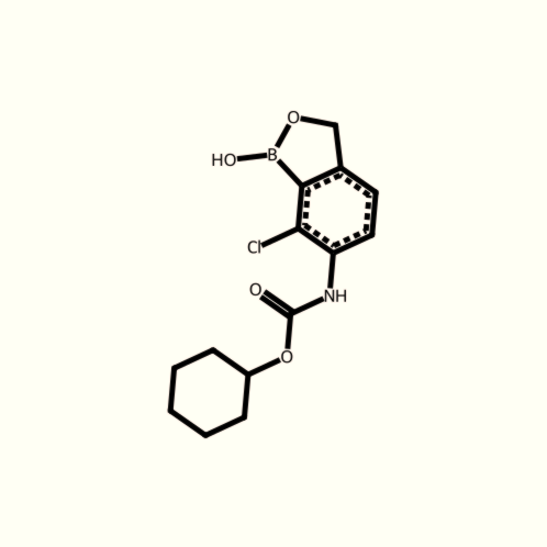 O=C(Nc1ccc2c(c1Cl)B(O)OC2)OC1CCCCC1